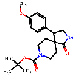 COc1ccc(C2CNC(=O)C23CCN(C(=O)OC(C)(C)C)CC3)cc1